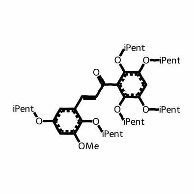 CCCC(C)Oc1cc(C=CC(=O)c2c(OC(C)CCC)c(OC(C)CCC)cc(OC(C)CCC)c2OC(C)CCC)c(OC(C)CCC)c(OC)c1